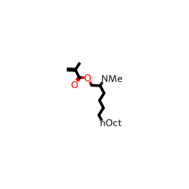 C=C(C)C(=O)OCC(CCCCCCCCCCCC)NC